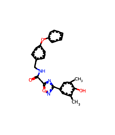 Cc1cc(-c2noc(C(=O)NCc3ccc(Oc4ccccc4)cc3)n2)cc(C)c1O